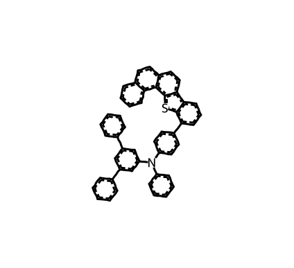 c1ccc(-c2cc(-c3ccccc3)cc(N(c3ccccc3)c3ccc(-c4cccc5c4sc4c5ccc5ccc6ccccc6c54)cc3)c2)cc1